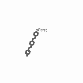 CCCCCC1CCC(CCC2CCC(CCc3ccc(C)cc3)CC2)CC1